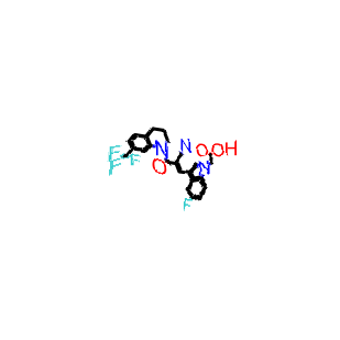 N#CC(=Cc1cn(CC(=O)O)c2ccc(F)cc12)C(=O)N1CCCc2ccc(C(F)(F)F)cc21